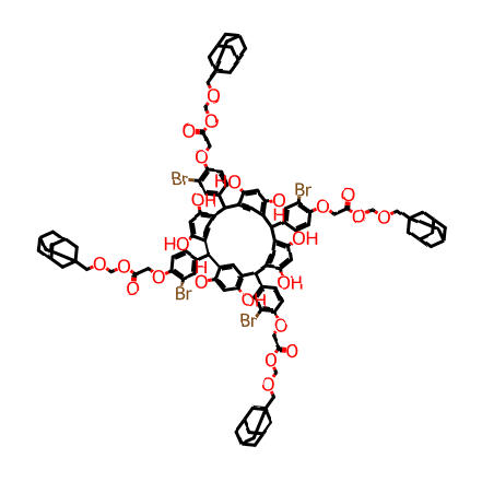 O=C(COc1ccc(C2c3cc(c(O)cc3O)C(c3ccc(OCC(=O)OCOCC45CC6CC(CC(C6)C4)C5)c(Br)c3)c3cc(c(O)cc3O)C(c3ccc(OCC(=O)OCOCC45CC6CC(CC(C6)C4)C5)c(Br)c3)c3cc(c(O)cc3O)C(c3ccc(OCC(=O)OCOCC45CC6CC(CC(C6)C4)C5)c(Br)c3)c3cc2c(O)cc3O)cc1Br)OCOCC12CC3CC(CC(C3)C1)C2